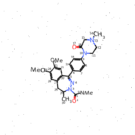 CNC(=O)N1N=C(c2ccc(N3CCN(C)CC3=O)cc2)c2cc(OC)c(OC)cc2CC1C